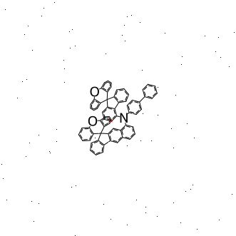 c1ccc(-c2ccc(N(c3cccc4c3-c3ccccc3C43c4ccccc4Oc4ccccc43)c3cccc4cc5c(cc34)C3(c4ccccc4Oc4ccccc43)c3ccccc3-5)cc2)cc1